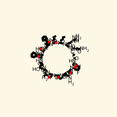 CCCC[C@H]1C(=O)N(C)[C@@H](CCCC)C(=O)N[C@@H](CCCNC(=N)N)C(=O)N[C@H](C(=O)NCC(N)=O)CSCC(=O)N[C@@H](Cc2ccc(F)cc2)C(O)N(C)[C@@H](C)C(=O)NC(CC(N)=O)C(O)N2CCC[C@H]2C(=O)N[C@@H](CN)C(=O)N[C@@H](CC(C)C)C(=O)N2C[C@H](O)CC2C(=O)N[C@@H](Cc2c[nH]c3ccccc23)C(=O)N[C@@H](CO)C(=O)N[C@@H](Cc2c[nH]c3ccccc23)C(=O)N1C